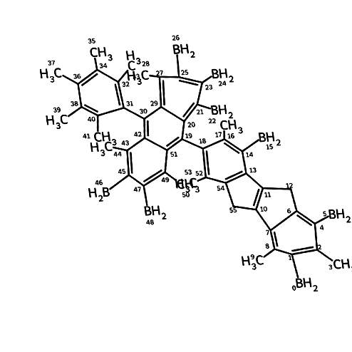 Bc1c(C)c(B)c2c(c1C)C1=C(C2)c2c(B)c(C)c(-c3c4c(B)c(B)c(B)c(C)c4c(-c4c(C)c(C)c(C)c(C)c4C)c4c(C)c(B)c(B)c(C)c34)c(C)c2C1